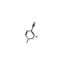 CN1C=CC(C#N)=CC1.I